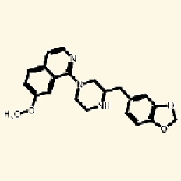 COc1ccc2ccnc(N3CCNC(Cc4ccc5c(c4)OCO5)C3)c2c1